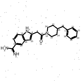 N=C(N)c1ccc2[nH]c(CC(=O)N3CCC(Cc4ccccc4)CC3)cc2c1